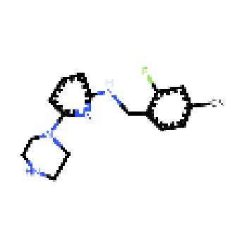 N#Cc1ccc(CNc2cccc(N3CCNCC3)n2)c(F)c1